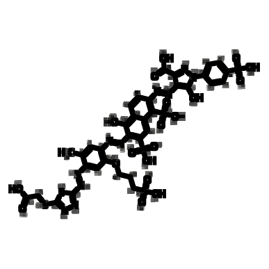 Cc1cc(N=Nc2c(S(=O)(=O)O)cc3c(S(=O)(=O)O)c(N=Nc4c(C(=O)O)nn(-c5ccc(S(=O)(=O)O)cc5)c4O)ccc3c2O)c(OCCCS(=O)(=O)O)cc1N=Nc1nnc(SCC(=O)O)s1